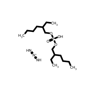 CCCCC(CC)COP(=O)(O)OCC(CC)CCCC.N=[N+]=N